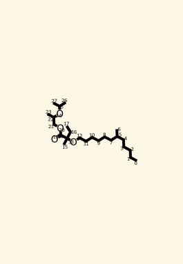 CCCCCC(C)CCCCCCOC(C)(CC)C(=O)OCC(C)OC(C)C